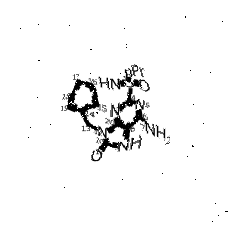 CCCS(=N)(=O)c1nc(N)c2[nH]c(=O)n(Cc3ccccc3)c2n1